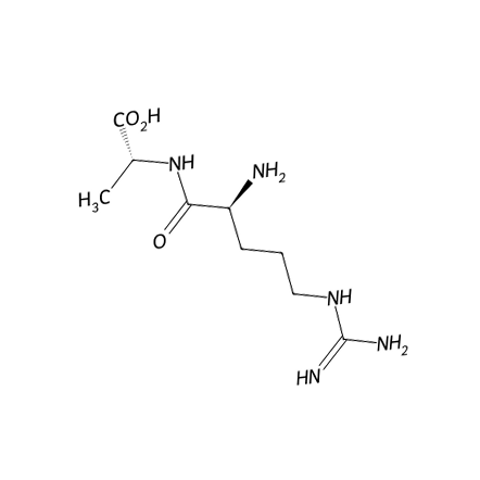 C[C@@H](NC(=O)[C@@H](N)CCCNC(=N)N)C(=O)O